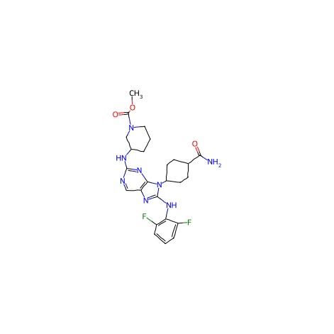 COC(=O)N1CCCC(Nc2ncc3nc(Nc4c(F)cccc4F)n(C4CCC(C(N)=O)CC4)c3n2)C1